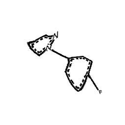 Fc1ccc(-n2cccn2)cc1